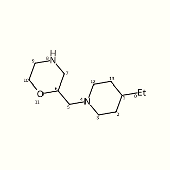 [CH2]CC1CCN(CC2CNCCO2)CC1